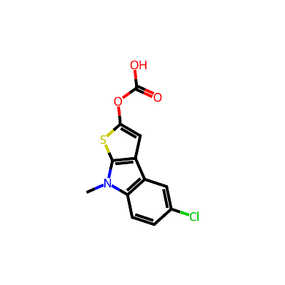 Cn1c2ccc(Cl)cc2c2cc(OC(=O)O)sc21